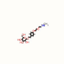 C/N=N/CCOCCOc1ccc(CCO[C@@H]2O[C@H](CO)[C@@H](O)[C@H](O)[C@H]2O)cc1